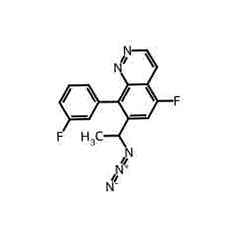 CC(N=[N+]=[N-])c1cc(F)c2ccnnc2c1-c1cccc(F)c1